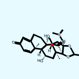 CC1O[C@@H]2C[C@H]3[C@@H]4CCC5=CC(=O)C=C[C@]5(C)[C@H]4[C@@H](O)C[C@]3(C)[C@]2(/C(CO)=N/N(C)C)O1